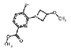 COC(=O)c1ccc(Br)c(N2CC(OC)C2)n1